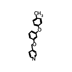 Cc1ccc(Oc2cccc(OCc3ccncc3)c2)cc1